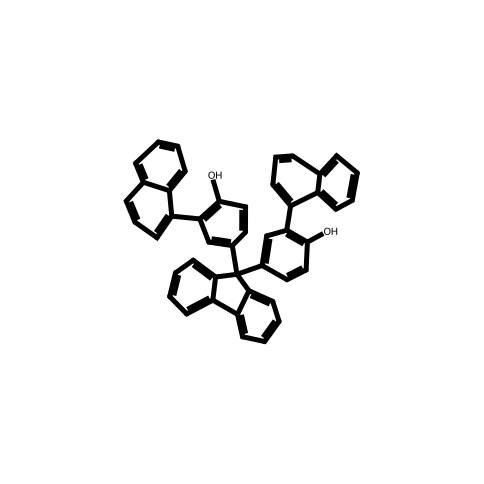 Oc1ccc(C2(c3ccc(O)c(-c4cccc5ccccc45)c3)c3ccccc3-c3ccccc32)cc1-c1cccc2ccccc12